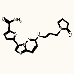 NC(=O)c1ccc(-c2cnc3ccc(NCCCN4CCCC4=O)nn23)s1